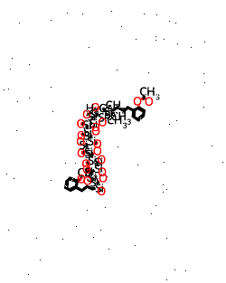 COc1ccccc1CCC[Si](=O)[Si](=O)[Si](=O)[Si](=O)[Si](=O)[Si](=O)[Si](=O)[Si](=O)[Si](=O)[Si](=O)[Si](=O)[Si](=O)[Si](=O)[Si](=O)[Si](=O)[Si](=O)[Si](=O)[Si](=O)[Si](C)(C)[Si](C)(C)CCCc1ccccc1OC(C)=O